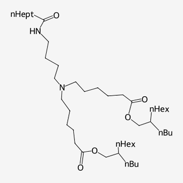 CCCCCCCC(=O)NCCCCN(CCCCCC(=O)OCC(CCCC)CCCCCC)CCCCCC(=O)OCC(CCCC)CCCCCC